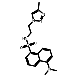 Cc1cn(CCNS(=O)(=O)c2cccc3c(N(C)C)cccc23)nn1